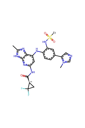 CCS(=O)(=O)Nc1cc(-c2cncn2C)ccc1Nc1cc(NC(=O)[C@H]2CC2(F)F)nc2[nH]c(C)nc12